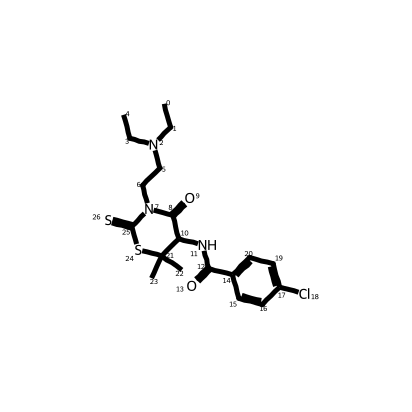 CCN(CC)CCN1C(=O)C(NC(=O)c2ccc(Cl)cc2)C(C)(C)SC1=S